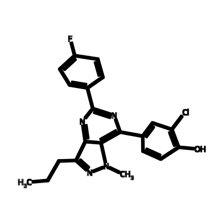 CCCc1nn(C)c2c(-c3ccc(O)c(Cl)c3)nc(-c3ccc(F)cc3)nc12